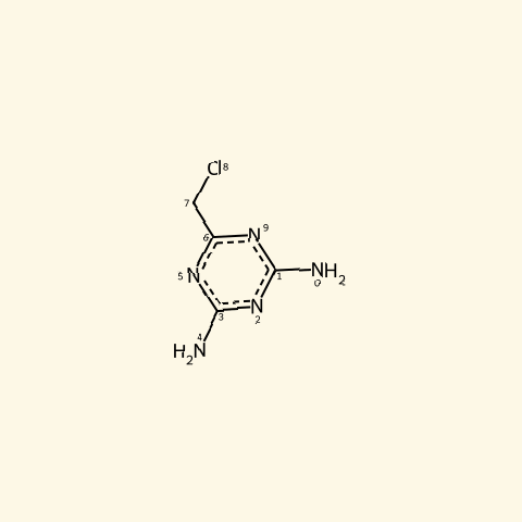 Nc1nc(N)nc(CCl)n1